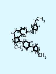 CCn1ccc(Nc2ncc3c(n2)-c2c(nn(C)c2-c2ccc(-c4cnn(C)c4)cc2)CC3)n1